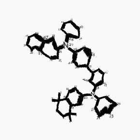 CC1(C)CCC(C)(C)c2cc(N(c3ccccc3)c3cccc(-c4ccc(N(c5ccccc5)c5ccc6ccccc6c5)cc4)c3)ccc21